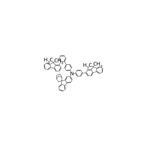 CC1(C)c2ccccc2-c2ccc(-c3ccc(N(c4ccc(-c5ccccc5-c5cccc6c5C(C)(C)c5ccccc5-6)cc4)c4ccc5c(c4)C4(CC6CCC4C6)c4ccccc4-5)cc3)cc21